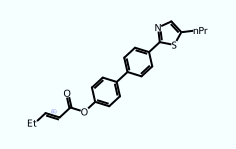 CC/C=C/C(=O)Oc1ccc(-c2ccc(-c3ncc(CCC)s3)cc2)cc1